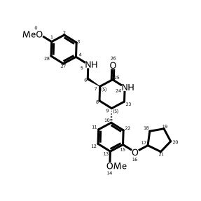 COc1ccc(NC[C@@H]2C[C@@H](c3ccc(OC)c(OC4CCCC4)c3)CNC2=O)cc1